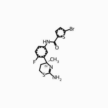 C[C@@]1(c2cc(NC(=O)c3ccc(Br)s3)ccc2F)CCSC(N)=N1